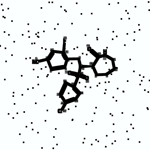 N#Cc1ccc(CN([C@@H]2CCCCNC2=O)S(=O)(=O)c2ccc(Cl)cc2)c(F)c1